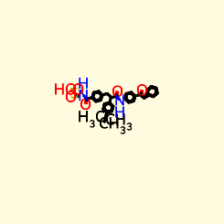 CC(C)(C)c1ccc(C(Cc2ccc(C(=O)NCS(=O)(=O)O)cc2)C(=O)Nc2ccc(-c3cc4ccccc4o3)cc2)cc1